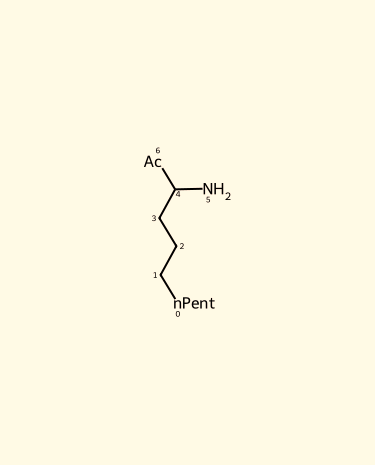 CCCCCCCCC(N)C(C)=O